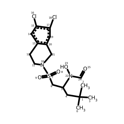 CC(C)(C)CC(CS(=O)(=O)N1CCc2cc(Cl)c(Cl)cc2C1)N(O)C=O